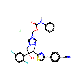 C[C@@H](c1nc(-c2ccc(C#N)cc2)cs1)[C@](O)(Cn1c[n+](COC(=O)N(C)c2ccccc2)cn1)c1cc(F)ccc1F.[Cl-]